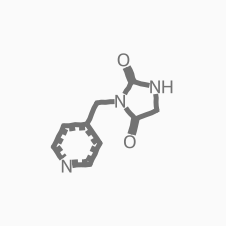 O=C1CNC(=O)N1Cc1ccncc1